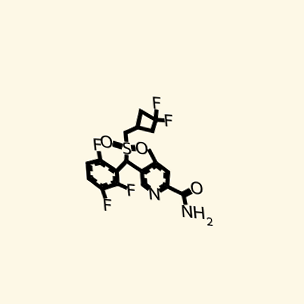 Cc1cc(C(N)=O)ncc1C(c1c(F)ccc(F)c1F)S(=O)(=O)CC1CC(F)(F)C1